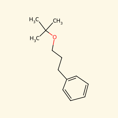 CC(C)(C)OCCCc1ccccc1